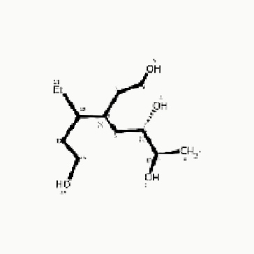 [CH2][C@@H](O)[C@@H](O)C[C@H](CCO)C(CC)CCO